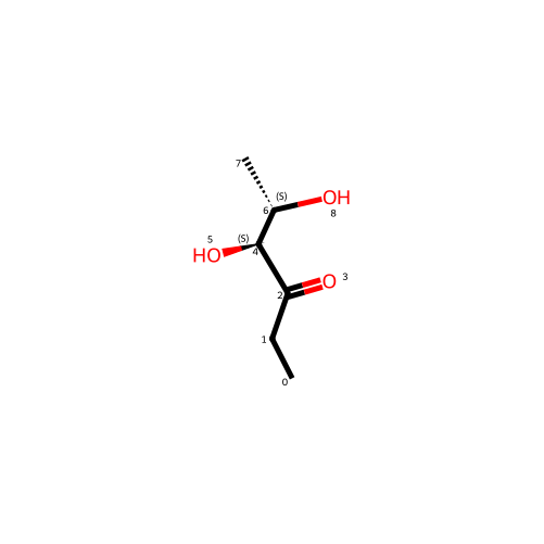 CCC(=O)[C@@H](O)[C@H](C)O